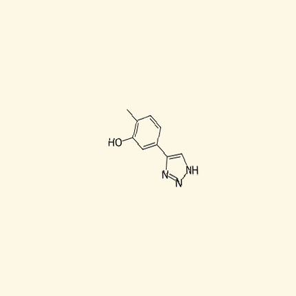 Cc1ccc(-c2c[nH]nn2)cc1O